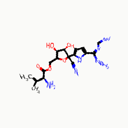 CC(C)[C@H](N)C(=O)OCC1OC(C#N)(c2ccc(/C(N)=N\C=N)[nH]2)[C@H](O)[C@@H]1O